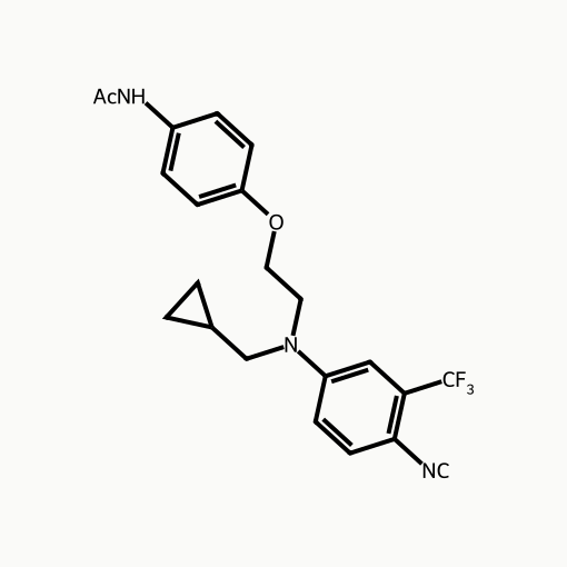 [C-]#[N+]c1ccc(N(CCOc2ccc(NC(C)=O)cc2)CC2CC2)cc1C(F)(F)F